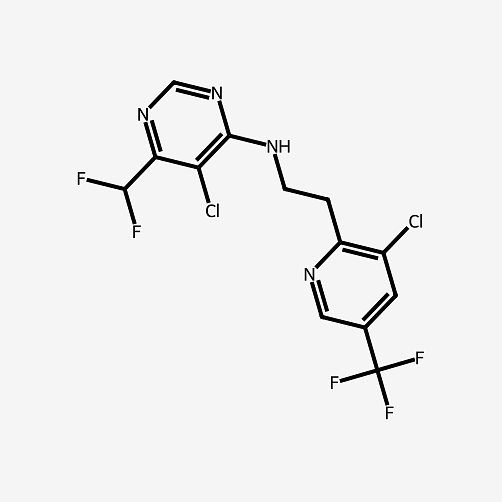 FC(F)c1ncnc(NCCc2ncc(C(F)(F)F)cc2Cl)c1Cl